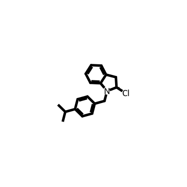 CC(C)c1ccc(CN2[C](Cl)Cc3ccccc32)cc1